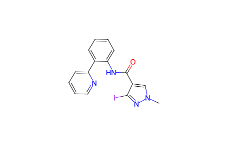 Cn1cc(C(=O)Nc2ccccc2-c2ccccn2)c(I)n1